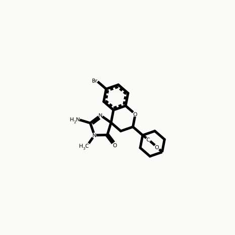 CN1C(=O)C2(CC(C34CCC(CC3)OC4)Oc3ccc(Br)cc32)N=C1N